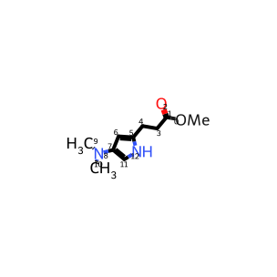 COC(=O)CCc1cc(N(C)C)c[nH]1